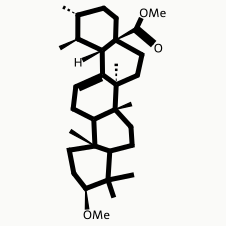 COC(=O)[C@]12CC[C@@H](C)[C@H](C)[C@H]1C1=CCC3[C@@]4(C)CC[C@H](OC)C(C)(C)C4CC[C@@]3(C)[C@]1(C)CC2